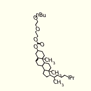 CCCCOCCOCCOC(=O)OC1CC[C@@]2(C)C(=CCC3C2CC[C@@]2(C)C3CC[C@@H]2[C@H](C)CCCC(C)C)C1